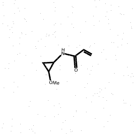 C=CC(=O)NC1CC1OC